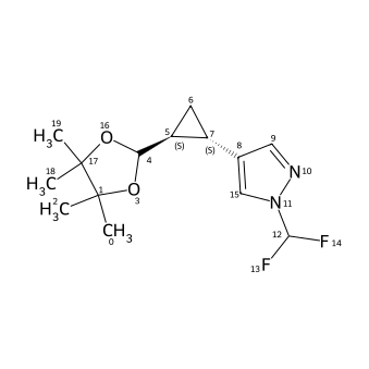 CC1(C)OC([C@H]2C[C@@H]2c2cnn(C(F)F)c2)OC1(C)C